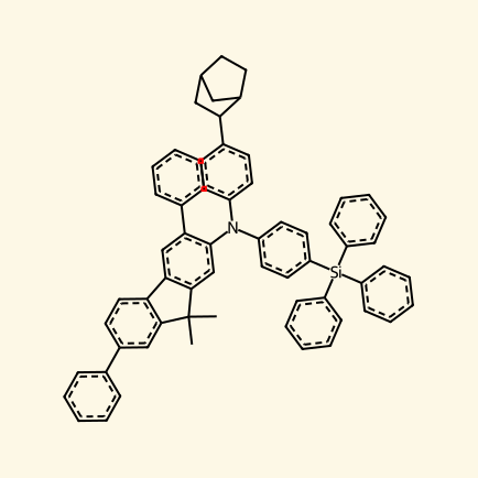 CC1(C)c2cc(-c3ccccc3)ccc2-c2cc(-c3ccccc3)c(N(c3ccc(C4CC5CCC4C5)cc3)c3ccc([Si](c4ccccc4)(c4ccccc4)c4ccccc4)cc3)cc21